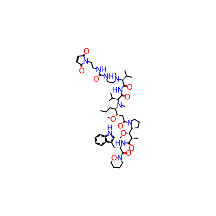 CC[C@H](C)[C@@H]([C@@H](CC(=O)N1CCC[C@H]1[C@H](OC)[C@@H](C)C(=O)N[C@@H](Cc1c[nH]c2ccccc12)C(=O)N1CCCCO1)OC)N(C)[C@H](C(=O)NC(=O)[C@H](C(C)C)N(C)CCNC(=O)NCCN1C(=O)C=CC1=O)C(C)C